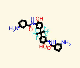 Nc1cccc(C(=O)Nc2cc(C(c3ccc(O)c(NC(=O)c4cccc(N)c4)c3)(C(F)(F)F)C(F)(F)F)ccc2O)c1